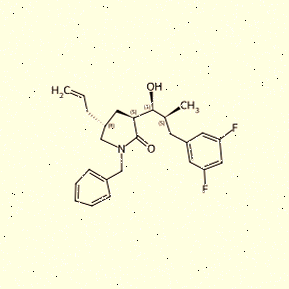 C=CC[C@@H]1C[C@@H]([C@@H](O)[C@@H](C)Cc2cc(F)cc(F)c2)C(=O)N(Cc2ccccc2)C1